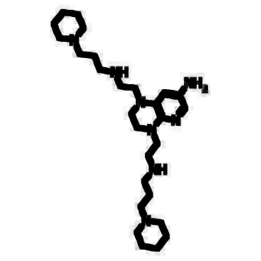 Nc1cnc2c(c1)N(CCNCCCN1CCCCC1)CCN2CCNCCCN1CCCCC1